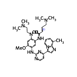 COc1cc(N(C)CCN(C)C)c(NC(=O)/C=C/CN(C)C)cc1Nc1nccc(-c2cnc3c(C)cccn23)n1